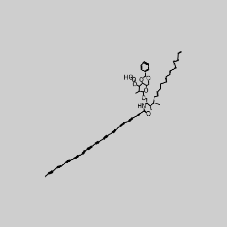 CC#CC#CC#CC#CC#CC#CC#CC#CC#CC#CC#CC#CC(=O)N[C@@H](COC1OC2COC(c3ccccc3)OC2C(OOO)C1C)[C@H](C)[C@H](C)CC=CCCCCCCCCCCC